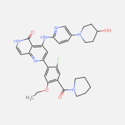 CCOc1cc(-c2cc(Nc3ccc(N4CCC(O)CC4)cn3)c3c(=O)[nH]ccc3n2)c(F)cc1C(=O)N1CCCCC1